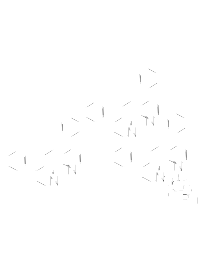 [O-][Cl+3]([O-])([O-])O.[Ru].c1ccc(-c2ccnc3c2ccc2c(-c4ccccc4)ccnc23)cc1.c1ccc(-c2ccnc3c2ccc2c(-c4ccccc4)ccnc23)cc1.c1ccc(-c2ccnc3c2ccc2c(-c4ccccc4)ccnc23)cc1